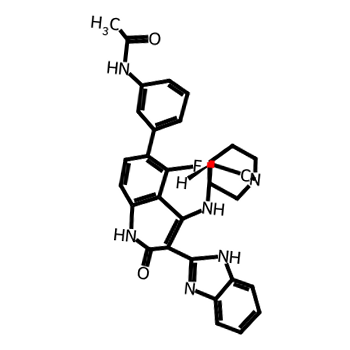 CC(=O)Nc1cccc(-c2ccc3[nH]c(=O)c(-c4nc5ccccc5[nH]4)c(N[C@H]4CN5CCC4CC5)c3c2F)c1